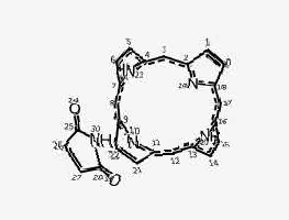 C1=Cc2cc3ccc(cc4nc(cc5ccc(cc1n2)[nH]5)C=C4)[nH]3.O=C1C=CC(=O)N1